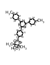 Cc1ccc(-c2nc(-c3ccc(C)cc3)nc(-c3ccc(B4OC(C)(C)C(C)(C)O4)cc3)n2)cc1